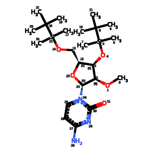 CO[C@@H]1[C@H](O[Si](C)(C)C(C)(C)C)[C@@H](CO[Si](C)(C)C(C)(C)C)O[C@H]1n1ccc(N)nc1=O